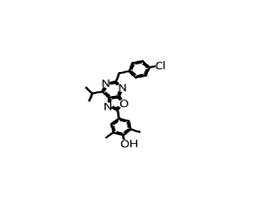 Cc1cc(-c2nc3c(C(C)C)nc(Cc4ccc(Cl)cc4)nc3o2)cc(C)c1O